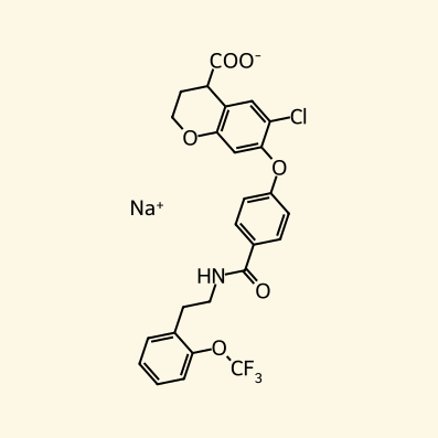 O=C(NCCc1ccccc1OC(F)(F)F)c1ccc(Oc2cc3c(cc2Cl)C(C(=O)[O-])CCO3)cc1.[Na+]